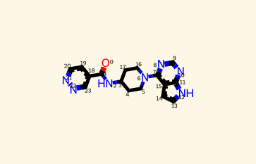 O=C(NC1CCN(c2ncnc3[nH]ccc23)CC1)c1ccnnc1